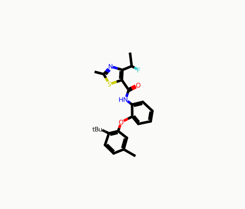 Cc1ccc(C(C)(C)C)c(Oc2ccccc2NC(=O)c2sc(C)nc2C(C)F)c1